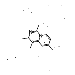 CC1=CC2=C(C)C(C)N=C(C)N2C=C1